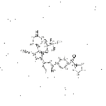 N#Cc1cc(-c2ccnc(-c3ccc(C(=O)N4CCCC4)cc3)c2)n(OC(=O)C(F)(F)F)c1N1CCNCC1